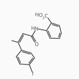 C/C(=C/C(=O)Nc1ccccc1C(=O)O)c1ccc(I)cc1